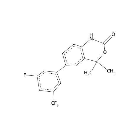 CC1(C)OC(=O)Nc2ccc(-c3cc(F)cc(C(F)(F)F)c3)cc21